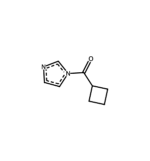 O=C(C1CCC1)n1ccnc1